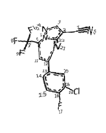 N#Cc1cnn2c(C(F)(F)F)cc(-c3ccc(F)c(Cl)c3)nc12